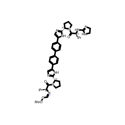 COO/C=N\[C@H](C(=O)N1CCC[C@H]1c1ncc(-c2ccc(-c3ccc(-c4cnc([C@@H]5CCCN5C(=O)[C@@H](NC5=NCCN5)C(C)C)[nH]4)cc3)cc2)[nH]1)C(C)C